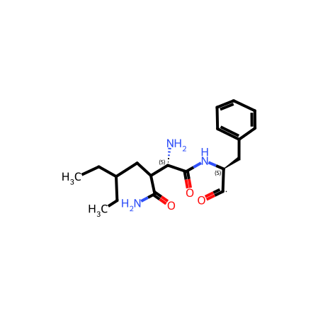 CCC(CC)CC(C(N)=O)[C@H](N)C(=O)N[C@H]([C]=O)Cc1ccccc1